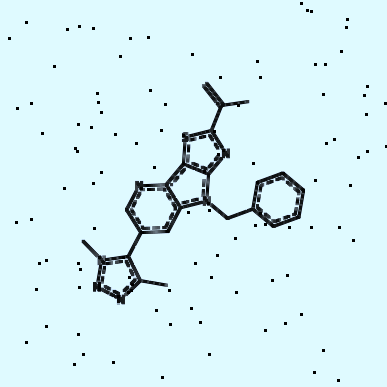 C=C(C)c1nc2c(s1)c1ncc(-c3c(C)nnn3C)cc1n2Cc1ccccc1